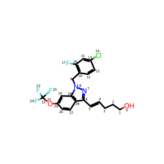 OCCC/C=C/c1nn(Cc2ccc(Cl)cc2F)c2cc(OC(F)(F)F)ccc12